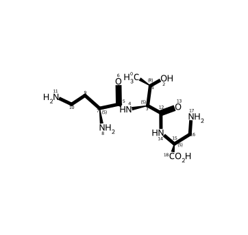 C[C@@H](O)[C@H](NC(=O)[C@@H](N)CCN)C(=O)N[C@@H](CN)C(=O)O